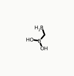 BCB(O)O